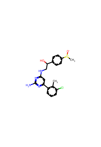 Cc1c(Cl)cccc1-c1cc(NCC(O)c2ccc([S+](C)[O-])cc2)nc(N)n1